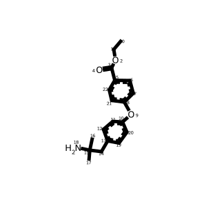 CCOC(=O)c1ccc(Oc2ccc(CC(C)(C)N)cc2)cc1